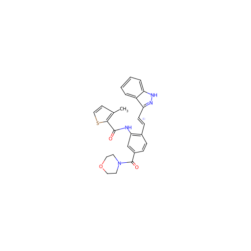 Cc1ccsc1C(=O)Nc1cc(C(=O)N2CCOCC2)ccc1/C=C/c1n[nH]c2ccccc12